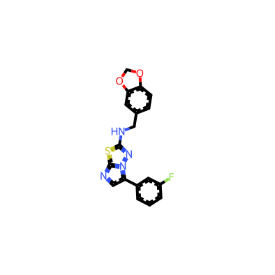 Fc1cccc(-c2cnc3sc(NCc4ccc5c(c4)OCO5)nn23)c1